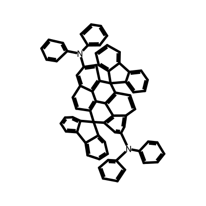 c1ccc(N(c2ccccc2)c2cc3c4c5c(ccc4c2)C2(c4ccccc4-c4ccccc42)c2cc(N(c4ccccc4)c4ccccc4)cc4ccc(c-5c24)C32c3ccccc3-c3ccccc32)cc1